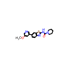 COc1cncc(-c2ccc3nc(NC(=O)N4CCCCC4)sc3c2)c1